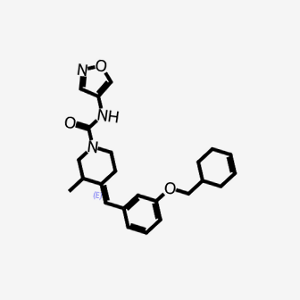 CC1CN(C(=O)Nc2cnoc2)CC/C1=C\c1cccc(OCC2CC=CCC2)c1